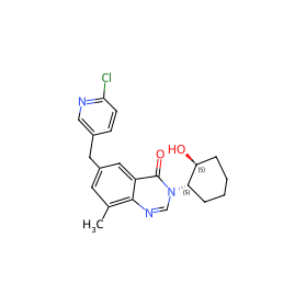 Cc1cc(Cc2ccc(Cl)nc2)cc2c(=O)n([C@H]3CCCC[C@@H]3O)cnc12